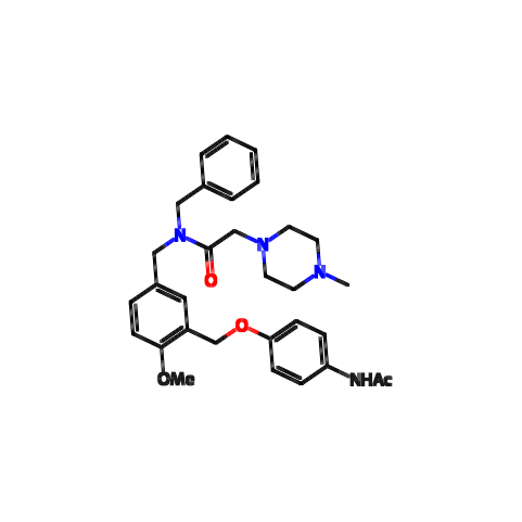 COc1ccc(CN(Cc2ccccc2)C(=O)CN2CCN(C)CC2)cc1COc1ccc(NC(C)=O)cc1